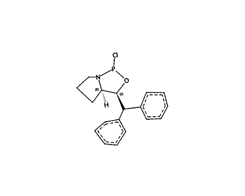 ClP1O[C@@H](C(c2ccccc2)c2ccccc2)[C@H]2CCCN21